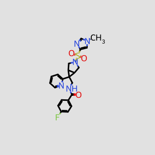 Cn1cnc(S(=O)(=O)N2CC3C(C2)C3(CNC(=O)c2ccc(F)cc2)c2ccccn2)c1